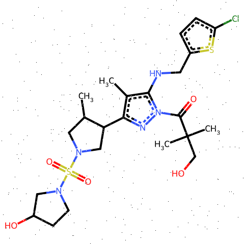 Cc1c(C2CN(S(=O)(=O)N3CCC(O)C3)CC2C)nn(C(=O)C(C)(C)CO)c1NCc1ccc(Cl)s1